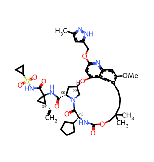 C=C[C@@H]1CC1(NC(=O)[C@@H]1C[C@@H]2CN1C(=O)[C@H](C1CCCC1)NC(=O)OCC(C)(C)CCCc1cc3c(cc(OCc4cc(C)n[nH]4)nc3cc1OC)O2)C(=O)NS(=O)(=O)C1CC1